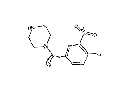 O=C(c1ccc(Cl)c([SH](=O)=O)c1)N1CCNCC1